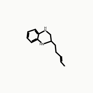 [CH2]/C=C/CCC1CNc2ccccc2N1